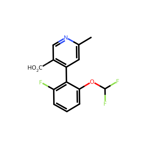 Cc1cc(-c2c(F)cccc2OC(F)F)c(C(=O)O)cn1